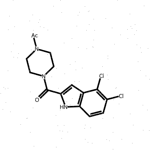 CC(=O)N1CCN(C(=O)c2cc3c(Cl)c(Cl)ccc3[nH]2)CC1